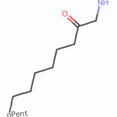 CCCCCCCCCCCC(=O)C[NH]